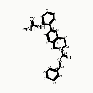 CNC(=O)Nc1ccccc1-c1ccc2c(c1)CCN(C(=O)OCc1ccccc1)C2